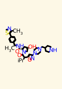 Cc1ncsc1-c1ccc([C@H](C)NC(=O)[C@@H]2C[C@@H](O)CN2C(=O)C(c2cc(N3CCN(CC4CCNCC4)CC3)no2)C(C)C)cc1